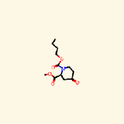 CCCCOC(=O)N1CCC(=O)CC1C(=O)OC